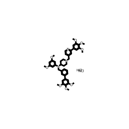 COc1cc(OC)cc(N(Cc2cccc(-c3cc(OC)c(OC)c(OC)c3)c2)C2CCN(Cc3ccnc(-c4cc(OC)c(OC)c(OC)c4)c3)CC2)c1.Cl.Cl